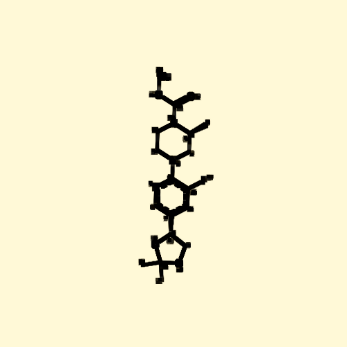 C[C@H]1CN(c2ncc([C@H]3COC(C)(C)O3)cc2F)CCN1C(=O)OC(C)(C)C